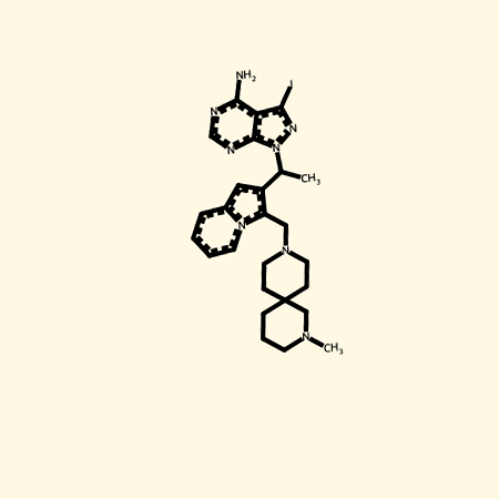 CC(c1cc2ccccn2c1CN1CCC2(CCCN(C)C2)CC1)n1nc(I)c2c(N)ncnc21